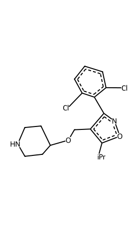 CC(C)c1onc(-c2c(Cl)cccc2Cl)c1COC1CCNCC1